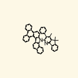 Cc1c(-c2ccccc2)c(-n2c3ccc4c5ccccc5c5ccccc5c4c3c3ccc4ccccc4c32)nc2c1C(C)(C)c1ccccc1-2